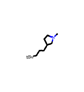 CN1CCC(CCCC(C)(C)C)C1